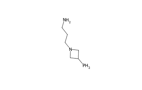 NCCCN1CC(P)C1